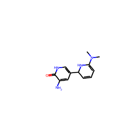 CN(C)C1=CC=CC(c2c[nH]c(=O)c(N)c2)N1